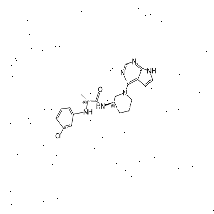 C[C@@H](Nc1cccc(Cl)c1)C(=O)N[C@@H]1CCCN(c2ncnc3[nH]ccc23)C1